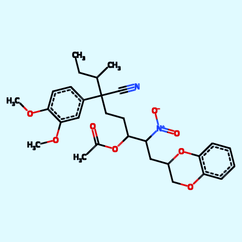 CCC(C)C(C#N)(CCC(OC(C)=O)C(CC1COc2ccccc2O1)[N+](=O)[O-])c1ccc(OC)c(OC)c1